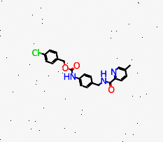 Cc1ccc(C(=O)NCc2ccc(NC(=O)OCc3ccc(Cl)cc3)cc2)nc1